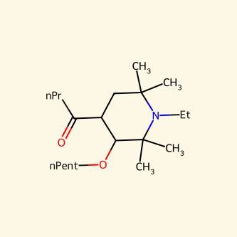 CCCCCOC1C(C(=O)CCC)CC(C)(C)N(CC)C1(C)C